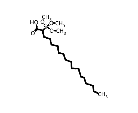 CCCCCCCCCCCCCCCCC(C(=O)O)[Si](OC)(OC)OC